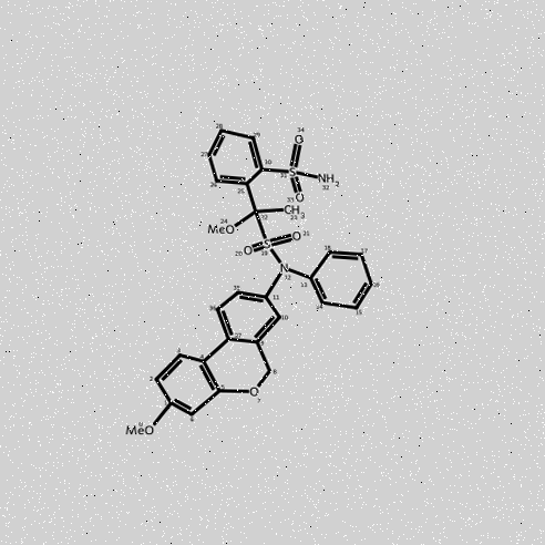 COc1ccc2c(c1)OCc1cc(N(c3ccccc3)S(=O)(=O)C(C)(OC)c3ccccc3S(N)(=O)=O)ccc1-2